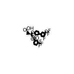 O=C(O)[C@H]1C[C@@H]1C1CN(S(=O)(=O)c2cccc(C(F)(F)F)c2)c2cc(-c3cc(F)cc(OC(F)F)c3)ccc2O1